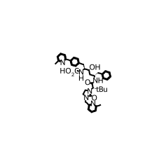 Cc1cccc(CN2CCN([C@H](C(=O)N[C@@H](Cc3ccccc3)C[C@@H](O)[C@H](Cc3ccc(-c4cccc(C)n4)cc3)NC(=O)O)C(C)(C)C)C2=O)n1